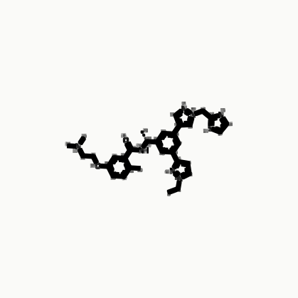 CCn1ccc(-c2cc(-c3cnn(Cc4nccs4)c3)cc([C@@H](C)NC(=O)c3cc(OCCN(C)C)ccc3C)c2)n1